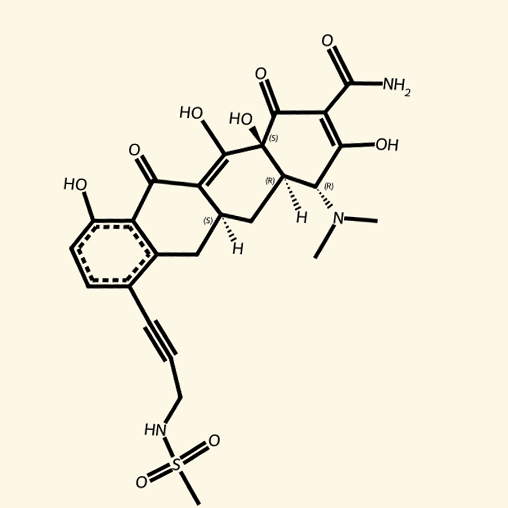 CN(C)[C@H]1C(O)=C(C(N)=O)C(=O)[C@@]2(O)C(O)=C3C(=O)c4c(O)ccc(C#CCNS(C)(=O)=O)c4C[C@@H]3C[C@H]12